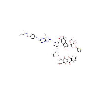 COc1cc([C@@H]2c3cc4c(cc3[C@@H](O[C@@H]3O[C@@H]5COC(c6cccs6)O[C@H]5[C@H](O)[C@H]3O)[C@H]3COC(=O)[C@H]23)OCO4)cc(OC)c1O.COc1cccc2c1C(=O)c1c(O)c3c(c(O)c1C2=O)C[C@@](O)(C(C)=O)C[C@@H]3O[C@H]1C[C@H](N)[C@H](O)[C@H](C)O1.Nc1nc(N)c2nc(CNc3ccc(C(=O)NC(CCC(=O)O)C(=O)O)cc3)cnc2n1